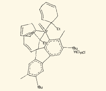 Cl.Cl.[CH2]=[Zr]([C]1=CC=CC1)([c]1c(C)c(C(C)(C)C)cc2c1Cc1cc(C)c(C(C)(C)C)cc1-2)([C]1(CC)C=CC=CC1)[C]1(CC)C=CC=CC1